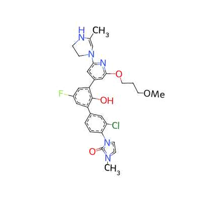 COCCCOc1cc(-c2cc(F)cc(-c3ccc(-n4ccn(C)c4=O)c(Cl)c3)c2O)cc(N2C=C(C)NCC2)n1